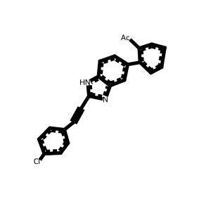 CC(=O)c1ccccc1-c1ccc2[nH]c(C#Cc3ccc(Cl)cc3)nc2c1